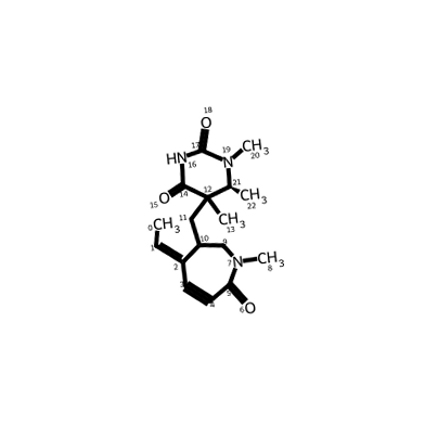 C/C=C1/C#CC(=O)N(C)CC1CC1(C)C(=O)NC(=O)N(C)[C@H]1C